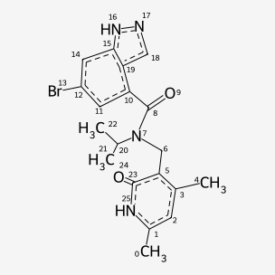 Cc1cc(C)c(CN(C(=O)c2cc(Br)cc3[nH]ncc23)C(C)C)c(=O)[nH]1